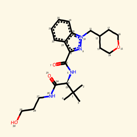 CC(C)(C)[C@H](NC(=O)c1nn(CC2CCOCC2)c2ccccc12)C(=O)NCCCO